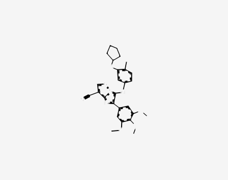 COc1cc(-c2[nH]c3c(C#N)cnn3c2Nc2ccc(F)c(OC3CCCC3)c2)cc(OC)c1OC